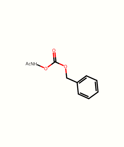 CC(=O)NOC(=O)OCc1ccccc1